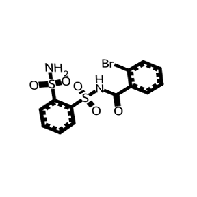 NS(=O)(=O)c1ccccc1S(=O)(=O)NC(=O)c1ccccc1Br